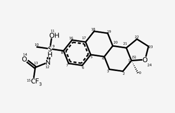 C[C@]12CCC3c4ccc([SH](C)(O)=NC(=O)C(F)(F)F)cc4CCC3C1CCO2